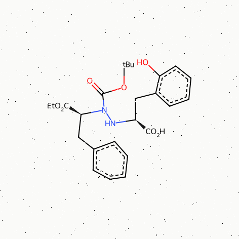 CCOC(=O)[C@H](Cc1ccccc1)N(N[C@@H](Cc1ccccc1O)C(=O)O)C(=O)OC(C)(C)C